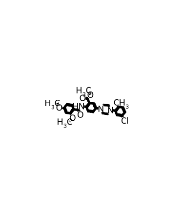 COC(=O)c1cc(N2CCN(c3cc(Cl)ccc3C)CC2)ccc1NC(=O)c1ccc(OC)cc1OC